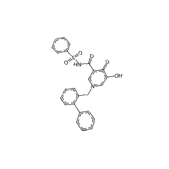 O=C(NS(=O)(=O)c1ccccc1)c1cn(Cc2ccccc2-c2ccccc2)cc(O)c1=O